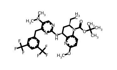 CC[C@@H]1C[C@H](Nc2ncc(N(C)C)c(Cc3cc(C(F)(F)F)cc(C(F)(F)F)c3)n2)c2nc(OC)ccc2N1C(=O)OC(C)(C)C